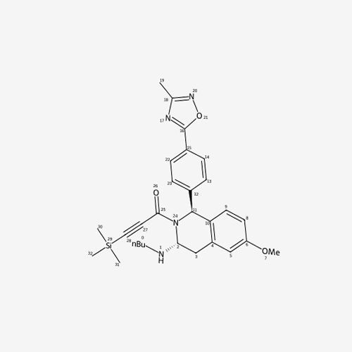 CCCCN[C@H]1Cc2cc(OC)ccc2[C@H](c2ccc(-c3nc(C)no3)cc2)N1C(=O)C#C[Si](C)(C)C